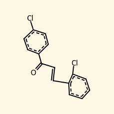 O=C(C=Cc1ccccc1Cl)c1ccc(Cl)cc1